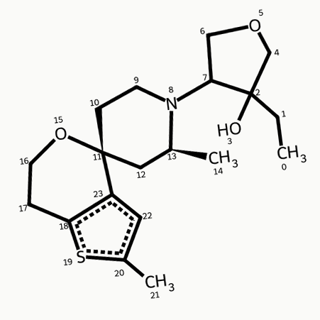 CCC1(O)COCC1N1CC[C@]2(C[C@@H]1C)OCCc1sc(C)cc12